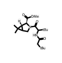 COC(=O)[C@@H]1[C@@H]2C(CN1C(=O)C(NC(=O)CC(C)(C)C)C(C)(C)C)C2(C)C